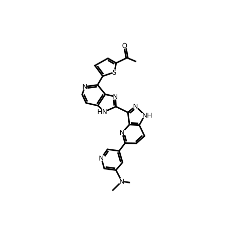 CC(=O)c1ccc(-c2nccc3[nH]c(-c4n[nH]c5ccc(-c6cncc(N(C)C)c6)nc45)nc23)s1